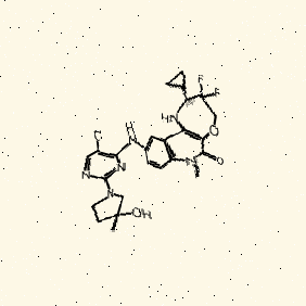 Cn1c(=O)c2c(c3cc(Nc4nc(N5CCC(C)(O)C5)ncc4Cl)ccc31)N[C@@H](C1CC1)C(F)(F)CO2